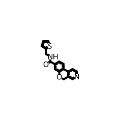 O=C(NCc1cccs1)c1ccc2c(c1)OCc1cnccc1-2